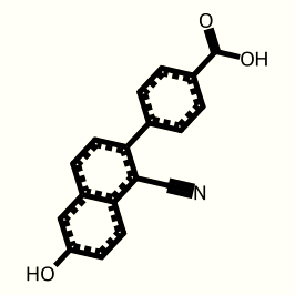 N#Cc1c(-c2ccc(C(=O)O)cc2)ccc2cc(O)ccc12